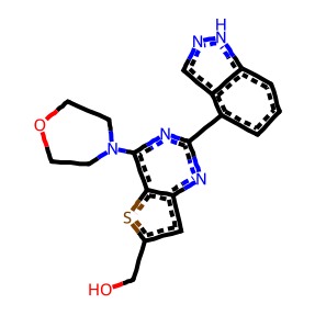 OCc1cc2nc(-c3cccc4[nH]ncc34)nc(N3CCOCC3)c2s1